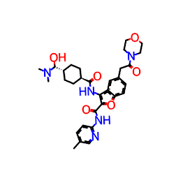 Cc1ccc(NC(=O)c2oc3ccc(CC(=O)N4CCOCC4)cc3c2NC(=O)[C@H]2CC[C@H](C(O)N(C)C)CC2)nc1